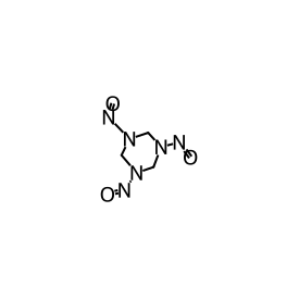 O=NN1CN(N=O)CN(N=O)C1